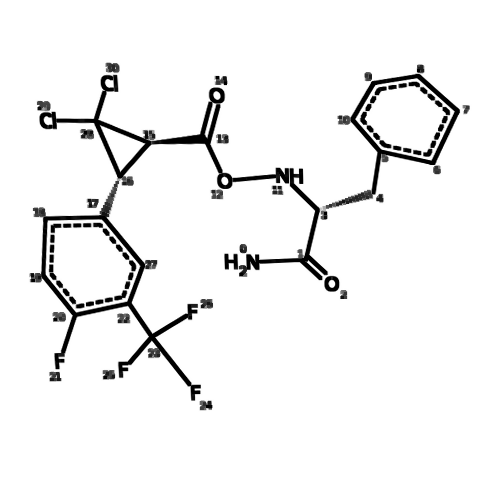 NC(=O)[C@@H](Cc1ccccc1)NOC(=O)[C@H]1[C@H](c2ccc(F)c(C(F)(F)F)c2)C1(Cl)Cl